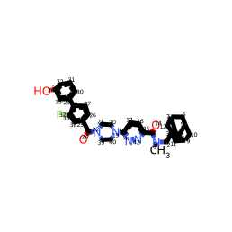 CN(CC12CC3CC(CC(C3)C1)C2)C(=O)c1ccc(N2CCN(C(=O)c3ccc(-c4cccc(O)c4)c(F)c3)CC2)nn1